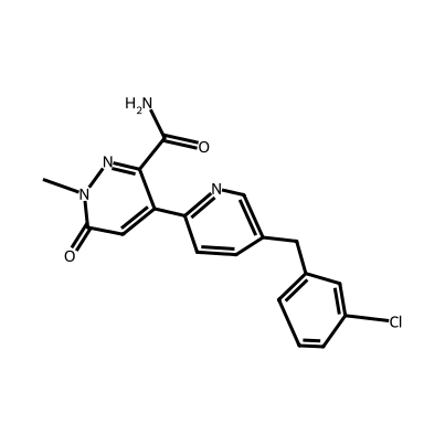 Cn1nc(C(N)=O)c(-c2ccc(Cc3cccc(Cl)c3)cn2)cc1=O